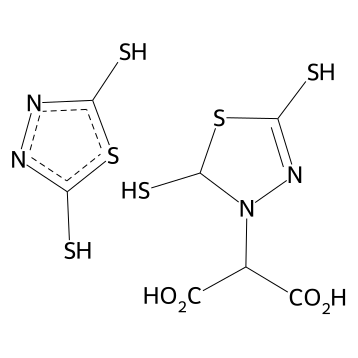 O=C(O)C(C(=O)O)N1N=C(S)SC1S.Sc1nnc(S)s1